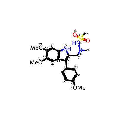 COc1ccc(-c2c(CN(C)NS(C)(=O)=O)[nH]c3cc(OC)c(OC)cc23)cc1